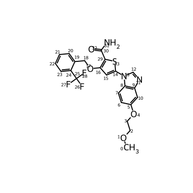 COCCOc1ccc2c(c1)ncn2-c1cc(OCc2ccccc2C(F)(F)F)c(C(N)=O)s1